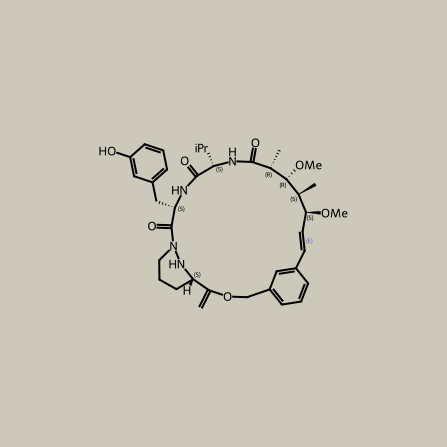 C=C1OCc2cccc(c2)/C=C/[C@H](OC)[C@H](C)[C@@H](OC)[C@@H](C)C(=O)N[C@@H](C(C)C)C(=O)N[C@@H](Cc2cccc(O)c2)C(=O)N2CCC[C@@H]1N2